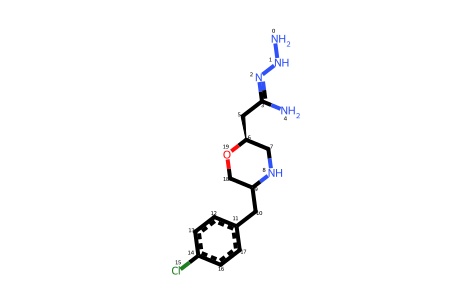 NN/N=C(\N)C[C@H]1CNC(Cc2ccc(Cl)cc2)CO1